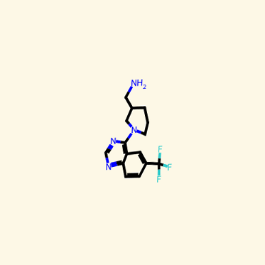 NCC1CCCN(c2ncnc3ccc(C(F)(F)F)cc23)C1